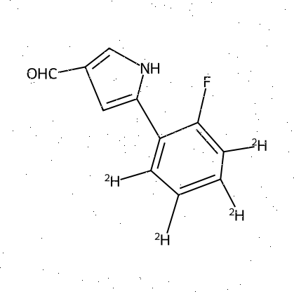 [2H]c1c([2H])c([2H])c(-c2cc(C=O)c[nH]2)c(F)c1[2H]